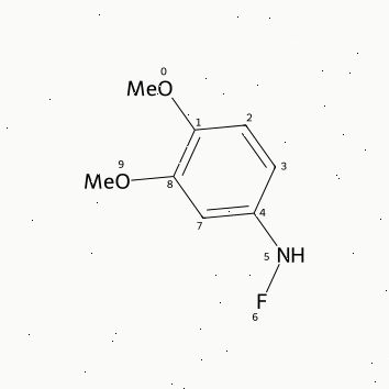 COc1ccc(NF)cc1OC